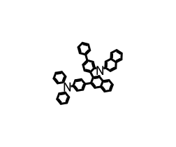 c1ccc(-c2ccc3c4c(-c5ccc(N(c6ccccc6)c6ccccc6)cc5)cc5ccccc5c4n(-c4ccc5ccccc5c4)c3c2)cc1